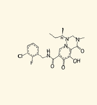 CC[C@@H](C)N1CN(C)C(=O)c2c(O)c(=O)c(C(=O)NCc3cccc(Cl)c3F)cn21